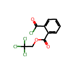 O=C(Cl)c1ccccc1C(=O)OCC(Cl)(Cl)Cl